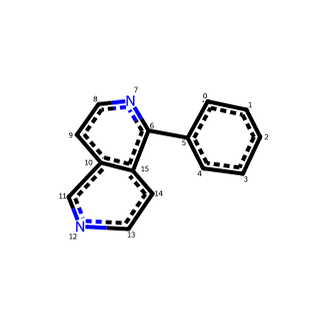 [c]1ccccc1-c1nccc2cnccc12